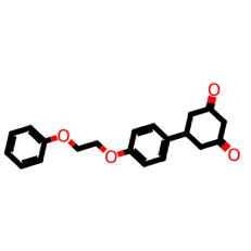 O=C1CC(=O)CC(c2ccc(OCCOc3ccccc3)cc2)C1